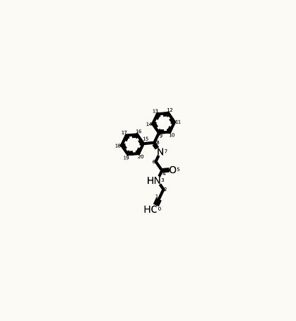 C#CCNC(=O)CN=C(c1ccccc1)c1ccccc1